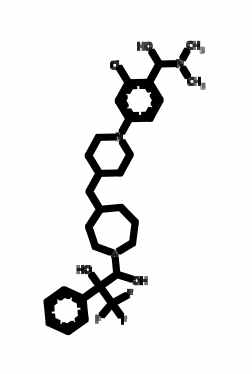 CN(C)C(O)c1ccc(N2CCC(CC3CCCN(C(O)C(O)(c4ccccc4)C(F)(F)F)CC3)CC2)cc1Cl